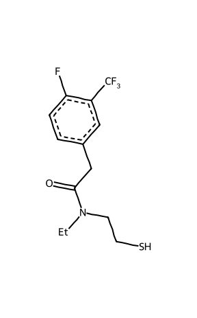 CCN(CCS)C(=O)Cc1ccc(F)c(C(F)(F)F)c1